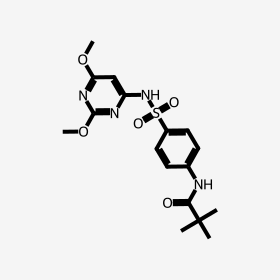 COc1cc(NS(=O)(=O)c2ccc(NC(=O)C(C)(C)C)cc2)nc(OC)n1